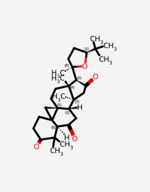 CC(C)(C)[C@@H]1CC[C@](C)([C@H]2C(=O)C[C@@]3(C)[C@@H]4CC(=O)[C@H]5C(C)(C)C(=O)CCC56C[C@@]46CC[C@]23C)O1